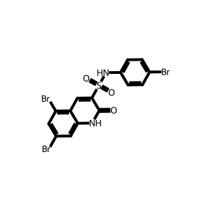 O=c1[nH]c2cc(Br)cc(Br)c2cc1S(=O)(=O)Nc1ccc(Br)cc1